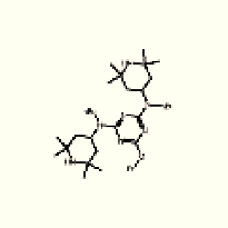 CCCCN(c1nc(OCC)nc(N(CCCC)C2CC(C)(C)NC(C)(C)C2)n1)C1CC(C)(C)NC(C)(C)C1